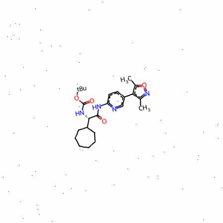 Cc1noc(C)c1-c1ccc(NC(=O)[C@@H](NC(=O)OC(C)(C)C)C2CCCCCC2)nc1